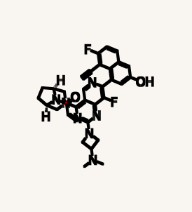 C#Cc1c(F)ccc2cc(O)cc(-c3ncc4c(N5C[C@H]6CC[C@@H](C5)N6C(=O)C=C)nc(N5CC(N(C)C)C5)nc4c3F)c12